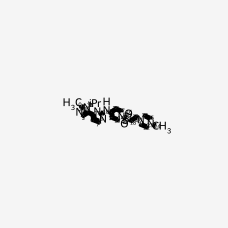 Cc1ncc(-c2ccnc(NC3CCN(S(=O)(=O)CCN4CCN(C)CC4)CC3)n2)n1C(C)C